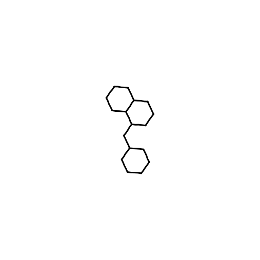 C1CCC(CC2CCCC3CCCCC32)CC1